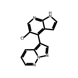 Clc1cnc2[nH]ccc2c1-c1cnn2ncccc12